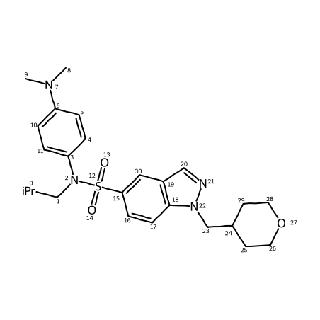 CC(C)CN(c1ccc(N(C)C)cc1)S(=O)(=O)c1ccc2c(cnn2CC2CCOCC2)c1